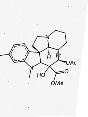 CC[C@]12CCCN3CC[C@@]4(c5ccc(C)cc5N(C)C4C(O)(C(=O)OC)[C@@H]1OC(C)=O)[C@@H]32